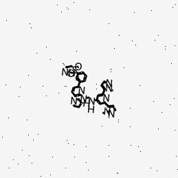 C[C@@H](N)CS(=O)(=O)c1cccc(-c2ccc3c(n2)N(CNc2cc(-c4ccnn4C)nc(-c4ccnn4C)c2)[C@H]2CCN3C2)c1